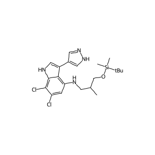 CC(CNc1cc(Cl)c(Cl)c2[nH]cc(-c3cn[nH]c3)c12)CO[Si](C)(C)C(C)(C)C